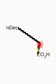 CCCCCCCCCCCCCCCCCCCCCCCCCCCCCC(=O)OC(=O)CCSCCC(=O)O